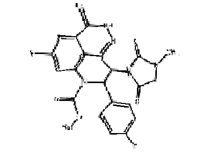 CN1CC(=O)N(C2c3n[nH]c(=O)c4cc(F)cc(c34)N(C(=O)OC(C)(C)C)C2c2ccc(F)cc2)C1=S